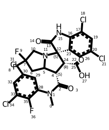 CN(C(=O)[C@@H]1C2CC(F)(F)CN2[C@@]2(C(=O)Nc3c(Cl)cc(Cl)cc32)[C@@H]1C(=O)O)c1cc(Cl)cc(Cl)c1F